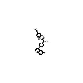 C#Cc1ccc(N/C(=N\O)[C@H](C)[C@H]2CC[C@@H](c3ccnc4ccc(F)cc43)CC2)cc1